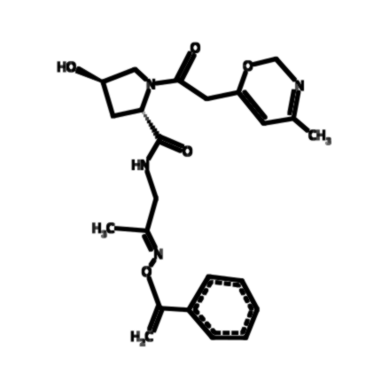 C=C(O/N=C(\C)CNC(=O)[C@@H]1C[C@@H](O)CN1C(=O)CC1=CC(C)=NCO1)c1ccccc1